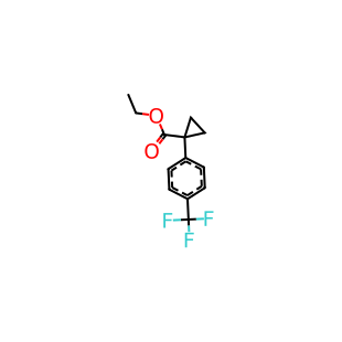 CCOC(=O)C1(c2ccc(C(F)(F)F)cc2)CC1